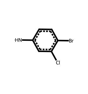 [NH]c1ccc(Br)c(Cl)c1